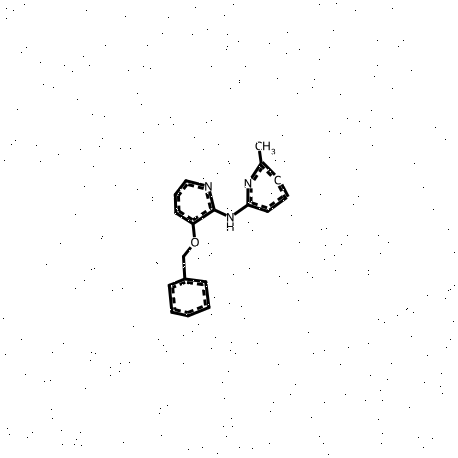 Cc1cccc(Nc2ncccc2OCc2ccccc2)n1